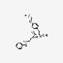 CCOc1ccc(C/C(=N\O)C(=O)NCC[Se]Sc2ccccc2)cc1